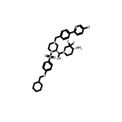 N[C@@H]1CCN(C(O)[C@@H]2CN(Cc3ccc(-c4ccc(Cl)cn4)cc3)CCN2S(=O)(=O)c2ccc(OCC3CCCCC3)cc2)CC1(F)F